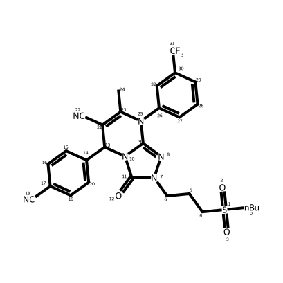 CCCCS(=O)(=O)CCCn1nc2n(c1=O)C(c1ccc(C#N)cc1)C(C#N)=C(C)N2c1cccc(C(F)(F)F)c1